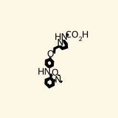 CN(C)c1ccccc1C(=O)Nc1ccc(OCCc2cccc(NC(=O)O)n2)cc1